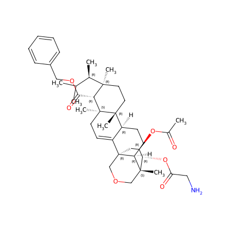 CC(=O)O[C@@H]1C[C@@]23COC[C@](C)([C@@H]2CC[C@H]2C3=CC[C@@]3(C)[C@H](C(=O)OCc4ccccc4)[C@@](C)([C@H](C)C(C)C)CC[C@]23C)[C@H]1OC(=O)CN